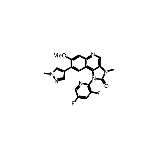 COc1cc2ncc3c(c2cc1-c1cnn(C)c1)n(-c1ncc(F)cc1F)c(=O)n3C